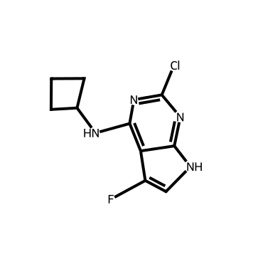 Fc1c[nH]c2nc(Cl)nc(NC3CCC3)c12